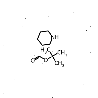 C1CCNCC1.CC(C)(C)OC=O